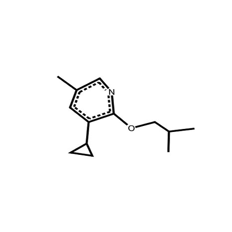 Cc1cnc(OCC(C)C)c(C2CC2)c1